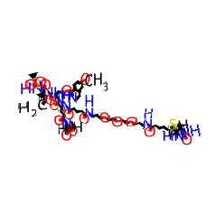 C=C[C@H]1CC1(NC(=O)[C@@H]1CC(Oc2nccc3cc(OC)ccc23)CN1C(=O)[C@H](CCC(=O)N1C[C@@H]2C[C@H]1C(=O)O2)NC(=O)CCCC(=O)NCCCOCCOCCOCCCNC(=O)CCCC[C@@H]1SC[C@@H]2NC(=O)N[C@@H]21)C(=O)NS(=O)(=O)C1CC1